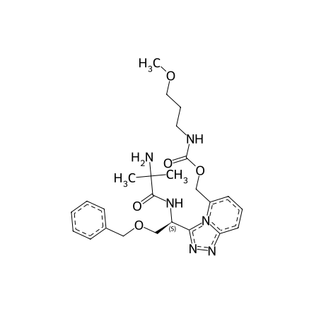 COCCCNC(=O)OCc1cccc2nnc([C@@H](COCc3ccccc3)NC(=O)C(C)(C)N)n12